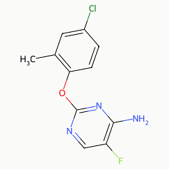 Cc1cc(Cl)ccc1Oc1ncc(F)c(N)n1